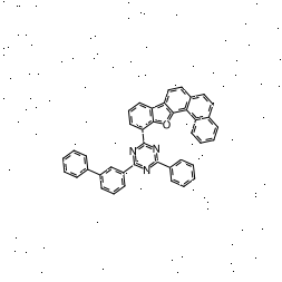 c1ccc(-c2cccc(-c3nc(-c4ccccc4)nc(-c4cccc5c4oc4c5ccc5ccc6ccccc6c54)n3)c2)cc1